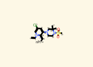 C=CN1C=C(Cl)C=C(N2CCN(S(C)(=O)=O)C(C)(C)C2)/C1=C/CCC